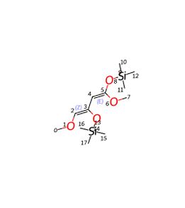 CO/C=C(/C=C(\OC)O[Si](C)(C)C)O[Si](C)(C)C